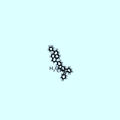 CC1(C)c2cc(-c3ccc4ccc5c(-c6ccccc6)ccc6ccc3c4c65)ccc2C2C=c3c(n(-c4ccccc4)c4ccccc34)=CC21